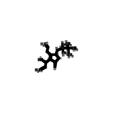 C=CCC1=C(C(O)C=C)C(=O)CC1O[Si](C)(C)C(C)(C)C